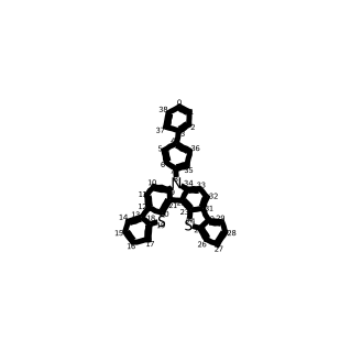 c1ccc(-c2ccc(-n3c4ccc5c6ccccc6sc5c4c4c5sc6ccccc6c5ccc43)cc2)cc1